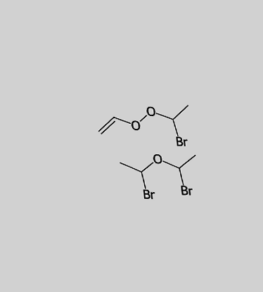 C=COOC(C)Br.CC(Br)OC(C)Br